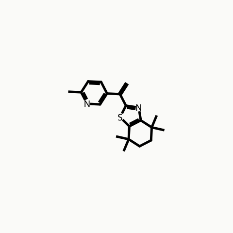 C=C(c1ccc(C)nc1)c1nc2c(s1)C(C)(C)CCC2(C)C